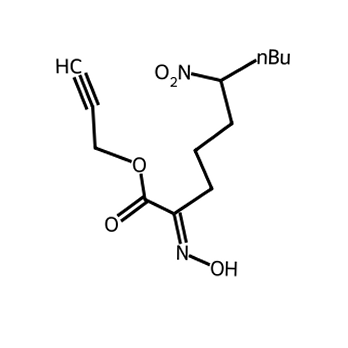 C#CCOC(=O)/C(CCCC(CCCC)[N+](=O)[O-])=N/O